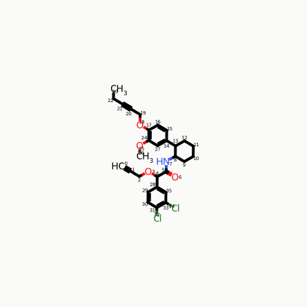 C#CCOC(C(=O)NC1CCCCC1c1ccc(OCC#CCC)c(OC)c1)c1ccc(Cl)c(Cl)c1